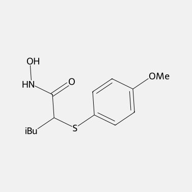 CCC(C)C(Sc1ccc(OC)cc1)C(=O)NO